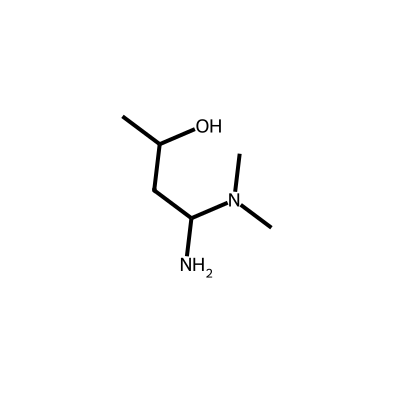 CC(O)CC(N)N(C)C